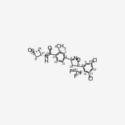 Cc1cc(C2=NO[C@](c3cc(Cl)cc(Cl)c3)(C(F)(F)F)C2)ccc1C(=O)N[C@H]1C[S@@+]([O-])C1